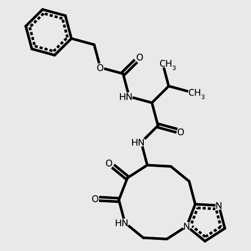 CC(C)C(NC(=O)OCc1ccccc1)C(=O)NC1CCc2nccn2CCNC(=O)C1=O